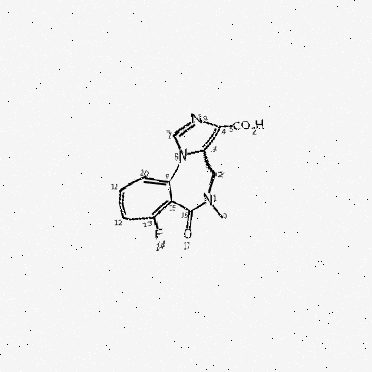 CN1Cc2c(C(=O)O)ncn2-c2cccc(F)c2C1=O